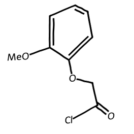 COc1ccccc1OCC(=O)Cl